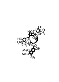 COc1c(OC(C)C)cc2cc(O)c(C(=O)NC3Cc4ccc(c(Cl)n4)O[C@H]4C=C5C(=C[C@@H]6O[C@]56[C@@H]4O[C@H]4C[C@@](C)(O)[C@@H](O)[C@H](C)O4)C(C[C@H]4C[C@H](O)[C@H](N(C)C)[C@H](C)O4)COC3=O)cc2c1OC